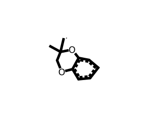 [CH2]C1(C)COc2ccccc2O1